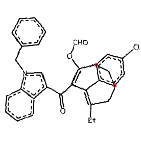 CC/C1=C(c2ccc(Cl)cc2)\C(C(=O)c2cn(Cc3ccccc3)c3ccccc23)=C(\OC=O)CCCC1